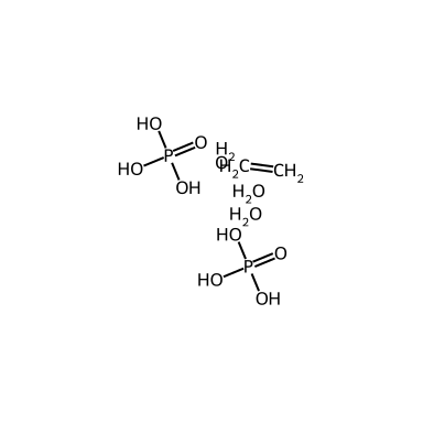 C=C.O.O.O.O=P(O)(O)O.O=P(O)(O)O